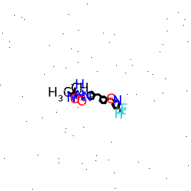 Cc1noc(NC(=O)N2CCC(Cc3cccc(Oc4ccc(C(F)(F)F)cn4)c3)CC2)c1C